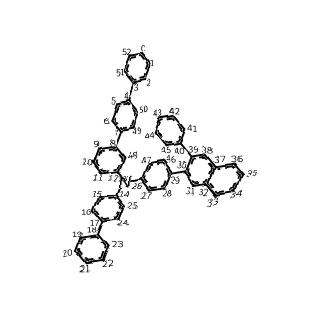 c1ccc(-c2ccc(-c3cccc(N(c4ccc(-c5ccccc5)cc4)c4ccc(-c5cc6ccccc6cc5-c5ccccc5)cc4)c3)cc2)cc1